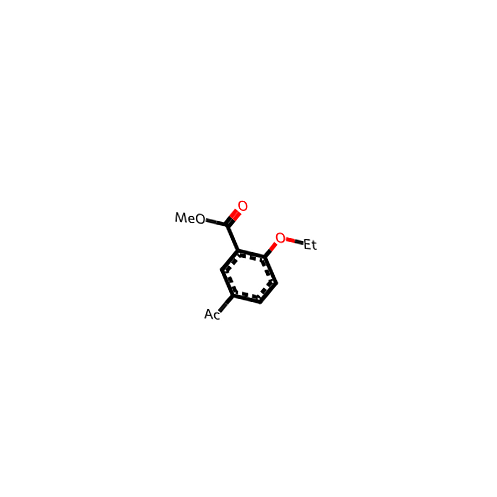 CCOc1ccc(C(C)=O)cc1C(=O)OC